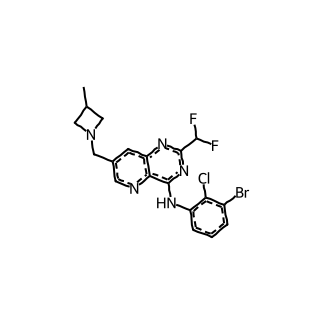 CC1CN(Cc2cnc3c(Nc4cccc(Br)c4Cl)nc(C(F)F)nc3c2)C1